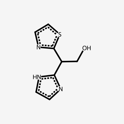 OCC(c1ncc[nH]1)c1nccs1